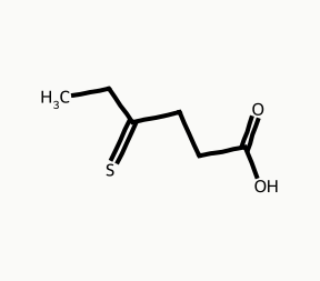 CCC(=S)CCC(=O)O